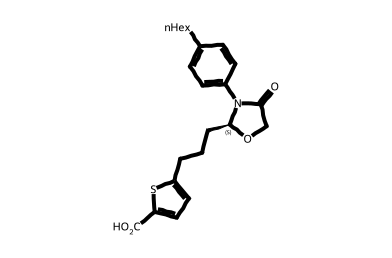 CCCCCCc1ccc(N2C(=O)CO[C@H]2CCCc2ccc(C(=O)O)s2)cc1